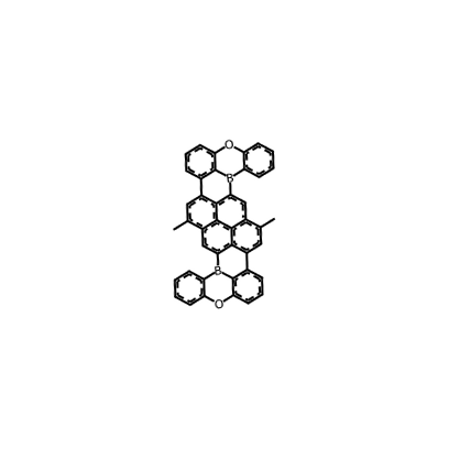 Cc1cc2c3c(cc4c(C)cc5c6c(cc1c3c46)B1c3ccccc3Oc3cccc-5c31)B1c3ccccc3Oc3cccc-2c31